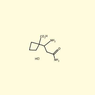 Cl.NC(=O)CC(N)C1(C(=O)O)CCC1